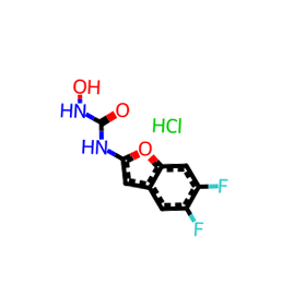 Cl.O=C(NO)Nc1cc2cc(F)c(F)cc2o1